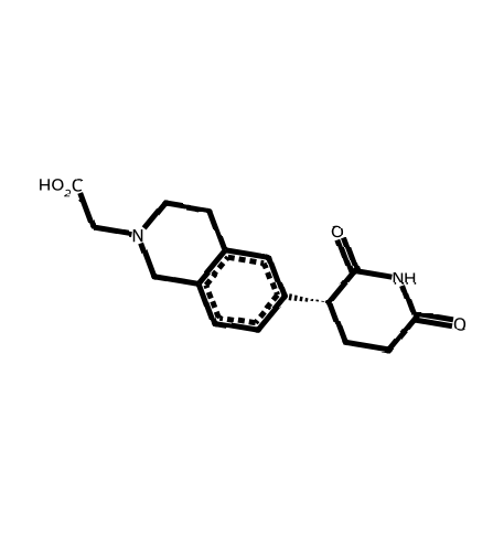 O=C(O)CN1CCc2cc([C@H]3CCC(=O)NC3=O)ccc2C1